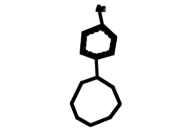 CC(=O)c1ccc(C2CCCCCCC2)cc1